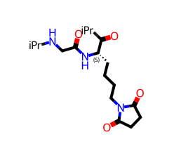 CC(C)NCC(=O)N[C@@H](CCCCN1C(=O)CCC1=O)C(=O)C(C)C